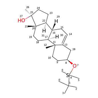 CC(C)(C)[Si](C)(C)O[C@H]1CC[C@@]2(C)C(=CC[C@@H]3[C@@H]2CC[C@@]2(C)[C@H]3CC[C@]2(C)O)C1